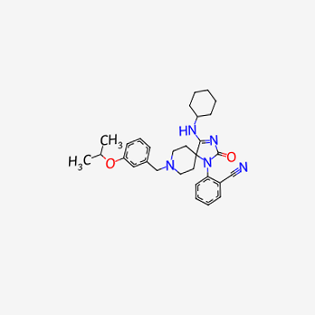 CC(C)Oc1cccc(CN2CCC3(CC2)C(NC2CCCCC2)=NC(=O)N3c2ccccc2C#N)c1